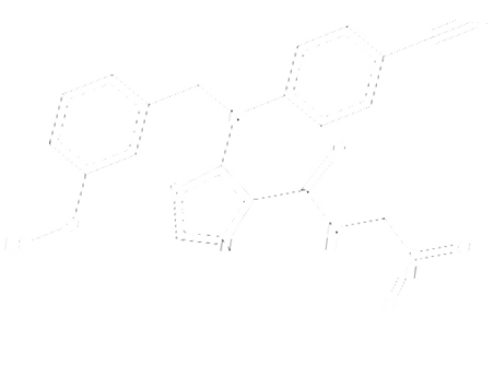 COc1cccc(CN(c2ccc(C#N)cc2)c2scnc2C(=O)NC[SH](=O)=O)c1